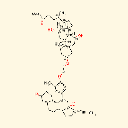 CC#C[C@]12CCC3C4CCC5=CC(=O)CCC5=C4[C@@H](c4ccc(OCCO[C@H]5CC[C@@]6(C)C(C5)C[C@@H](O)[C@H]5[C@@H]7CC[C@H]([C@H](C)CCC(=O)OC)[C@@]7(C)[C@@H](O)C[C@@H]56)c(C)c4)C[C@@]31O2